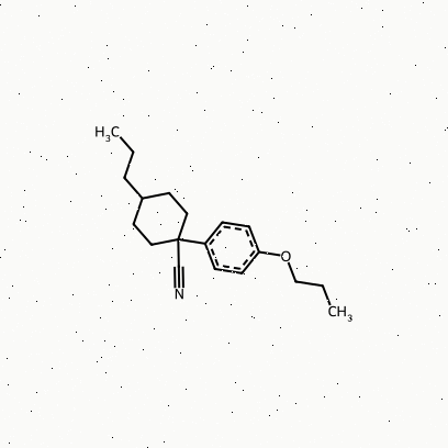 CCCOc1ccc(C2(C#N)CCC(CCC)CC2)cc1